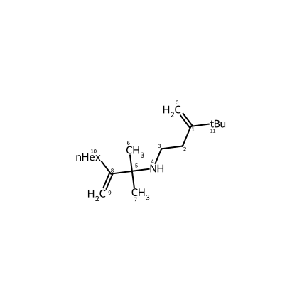 C=C(CCNC(C)(C)C(=C)CCCCCC)C(C)(C)C